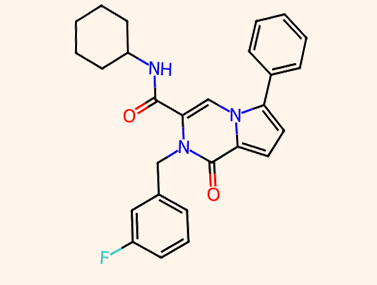 O=C(NC1CCCCC1)c1cn2c(-c3ccccc3)ccc2c(=O)n1Cc1cccc(F)c1